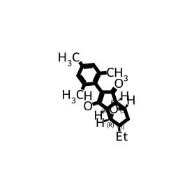 CC[C@@H]1C[C@@H]2O[C@H]1[C@H]1C(O)=C(c3c(C)cc(C)cc3C)C(=O)[C@H]12